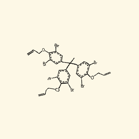 C=CCOc1c(Br)cc(C(C)(c2cc(Br)c(OCC=C)c(Br)c2)c2cc(Br)c(OCC=C)c(Br)c2)cc1Br